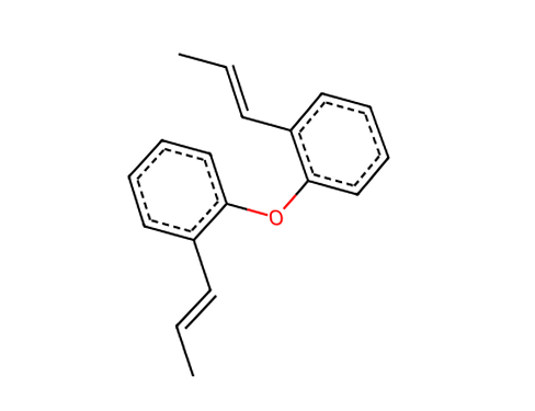 CC=Cc1ccccc1Oc1ccccc1C=CC